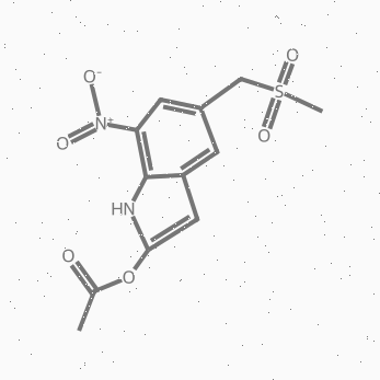 CC(=O)Oc1cc2cc(CS(C)(=O)=O)cc([N+](=O)[O-])c2[nH]1